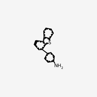 Nc1ccc(-c2cc#cc3c2sc2ccccc23)cc1